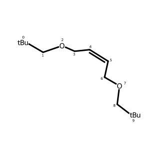 CC(C)(C)COC/C=C\COCC(C)(C)C